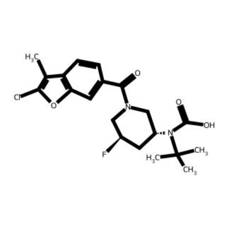 Cc1c(Cl)oc2cc(C(=O)N3C[C@H](F)C[C@@H](N(C(=O)O)C(C)(C)C)C3)ccc12